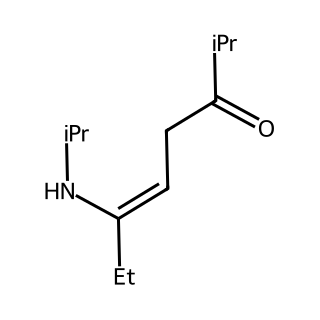 CCC(=CCC(=O)C(C)C)NC(C)C